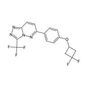 FC1(F)CC(Oc2ccc(-c3ccc4nnc(C(F)(F)F)n4n3)cc2)C1